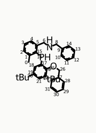 Cc1cccc(CNCc2ccccc2)c1Pc1cc(C(C)(C)C)cc(C(C)(C)C)c1OCC1C=CC=CC1